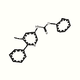 Cc1cc(NC(=O)Oc2ccccc2)cnc1-c1ccccc1